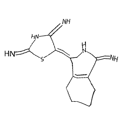 N=C1NC(=N)/C(=C2\NC(=N)C3=C2CCCC3)S1